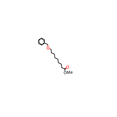 COC(=O)CCCCCCCCOCc1ccccc1